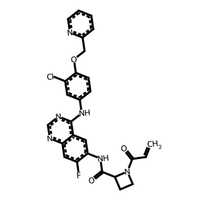 C=CC(=O)N1CCC1C(=O)Nc1cc2c(Nc3ccc(OCc4ccccn4)c(Cl)c3)ncnc2cc1F